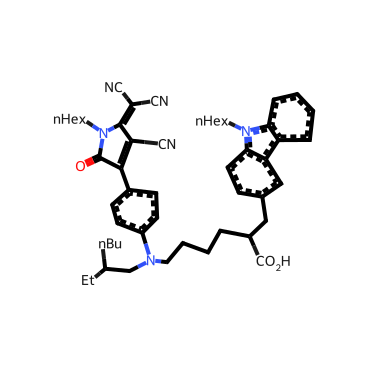 CCCCCCN1C(=O)C(c2ccc(N(CCCCC(Cc3ccc4c(c3)c3ccccc3n4CCCCCC)C(=O)O)CC(CC)CCCC)cc2)=C(C#N)C1=C(C#N)C#N